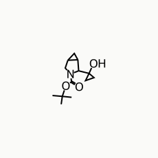 CC(C)(C)OC(=O)N1CC2CC2C1C1(O)CC1